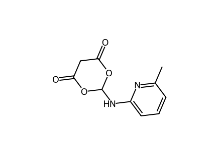 Cc1cccc(NC2OC(=O)CC(=O)O2)n1